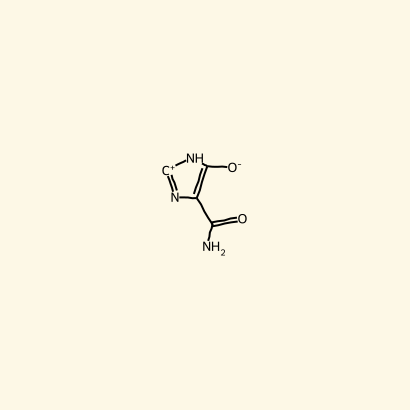 NC(=O)C1=C([O-])N[C+]=N1